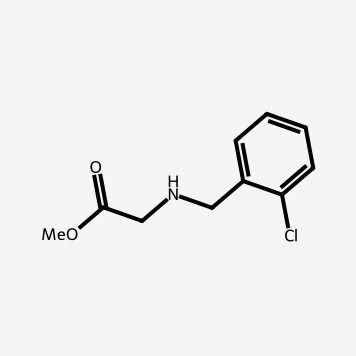 COC(=O)CNCc1ccccc1Cl